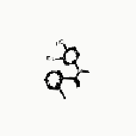 C=C(c1ccccc1C)N(C)c1ccc(O)c(CC)c1